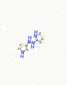 C1NC(NNC2CNCS2)CS1